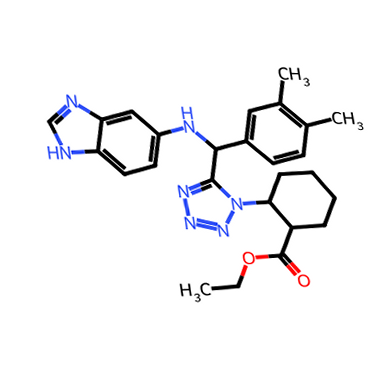 CCOC(=O)C1CCCCC1n1nnnc1C(Nc1ccc2[nH]cnc2c1)c1ccc(C)c(C)c1